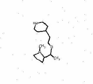 CC(OCCC1CCNCC1)C1CCCN1C